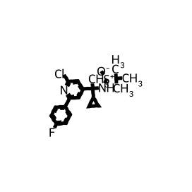 CC(N[S+]([O-])C(C)(C)C)(c1cc(Cl)nc(-c2ccc(F)cc2)c1)C1CC1